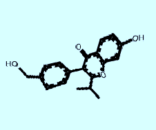 CC(C)c1oc2cc(O)ccc2c(=O)c1-c1ccc(CO)cc1